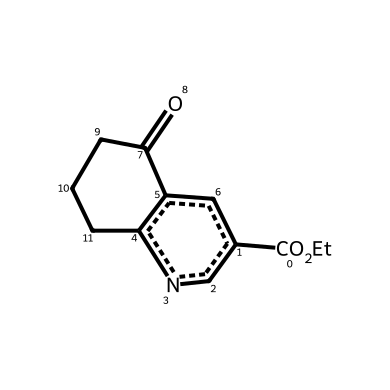 CCOC(=O)c1cnc2c(c1)C(=O)CCC2